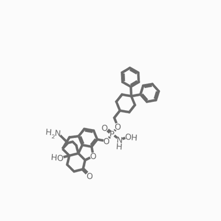 NC1CCC23c4c5ccc(OP(=O)(NO)OCC6CCC(c7ccccc7)(c7ccccc7)CC6)c4OC2C(=O)CCC3(O)C1C5